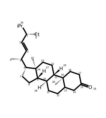 CC[C@H](C=C[C@@H](C)[C@H]1CC[C@H]2[C@@H]3CCC4CC(=O)CC[C@]4(C)[C@H]3CC[C@]12C)C(C)C